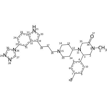 CN1CC(c2ccc(F)cc2)N(C2CCN(CCCc3c[nH]c4ccc(-n5cnnc5)cc34)CC2)CC1=O